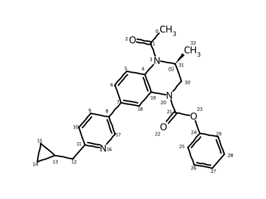 CC(=O)N1c2ccc(-c3ccc(CC4CC4)nc3)cc2N(C(=O)Oc2ccccc2)C[C@@H]1C